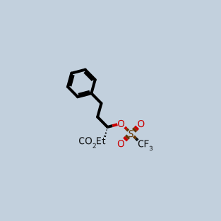 CCOC(=O)[C@H](CCc1ccccc1)OS(=O)(=O)C(F)(F)F